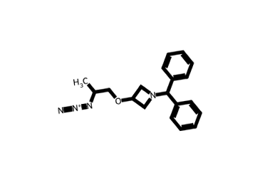 CC(COC1CN(C(c2ccccc2)c2ccccc2)C1)N=[N+]=[N-]